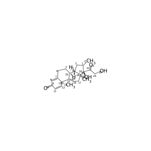 CC1C[C@H]2[C@@H]3CCC4=CC(=O)C=C[C@]4(C)C3=CC[C@]2(C)[C@@]1(O)C(=O)CO